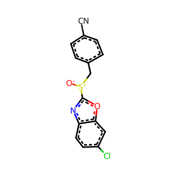 N#Cc1ccc(C[S+]([O-])c2nc3ccc(Cl)cc3o2)cc1